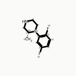 C[C@@H]1CNCCN1c1cc(F)ccc1F